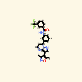 Cc1noc(C)c1-c1cnn2c(-c3cccc(NC(=O)c4cccc(C(F)(F)F)c4)c3)ccnc12